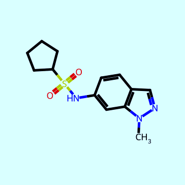 Cn1ncc2ccc(NS(=O)(=O)C3CCCC3)cc21